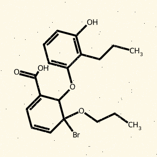 CCCOC1(Br)C=CC=C(C(=O)O)C1Oc1cccc(O)c1CCC